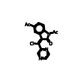 CC(=O)c1ccc2c(c1)C(=C(Cl)c1cnccn1)C(=O)N2C(C)=O